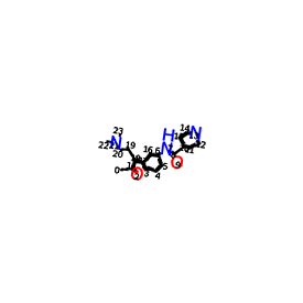 Cc1oc2ccc(NC(=O)c3ccncc3)cc2c1CCN(C)C